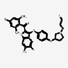 Cc1cc(F)cc(C)c1C(=O)c1sc2cc(O)c(F)cc2c1Oc1ccc(OC2CCN(CCCF)C2)cc1